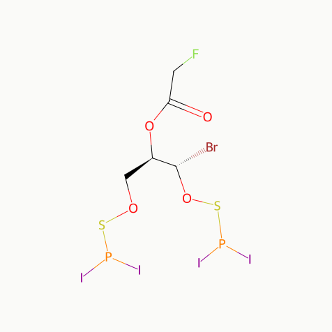 O=C(CF)O[C@H](COSP(I)I)[C@H](Br)OSP(I)I